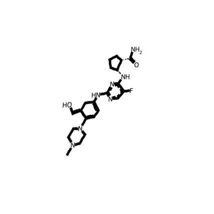 CN1CCN(C2=CC=C(Nc3ncc(F)c(N[C@@H]4CCC[C@@H]4C(N)=O)n3)CC2=CO)CC1